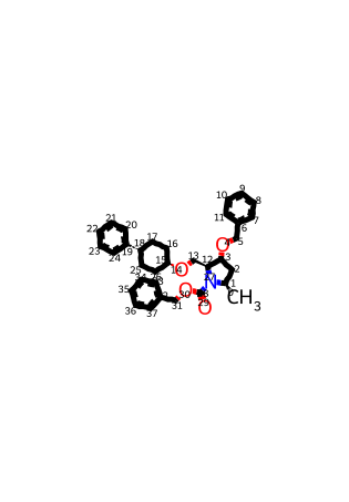 C[C@@H]1CC(OCc2ccccc2)[C@H](CO[C@H]2CC[C@@H](c3ccccc3)CC2)N1C(=O)OCc1ccccc1